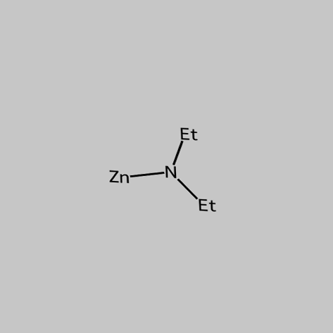 CC[N]([Zn])CC